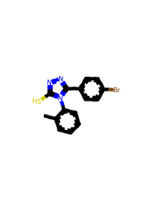 Cc1ccccc1-n1c(S)nnc1-c1ccc(Br)cc1